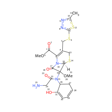 COC(=O)C1=C(CSc2nnc(C)s2)CS[C@@H]2N1C(=O)C2(OC)N(C(=O)CN)C1CC=CC=C1O